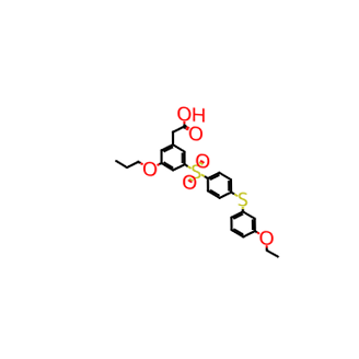 CCCOc1cc(CC(=O)O)cc(S(=O)(=O)c2ccc(Sc3cccc(OCC)c3)cc2)c1